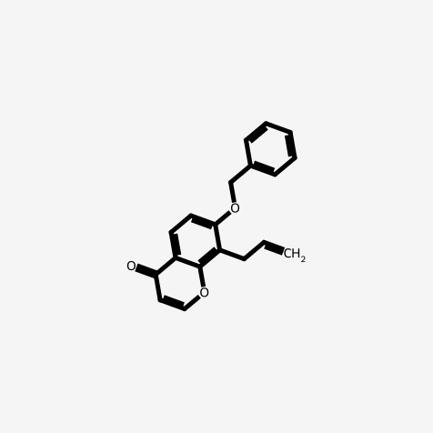 C=CCc1c(OCc2ccccc2)ccc2c(=O)ccoc12